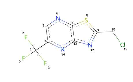 FC(F)(F)c1cnc2sc(CCl)nc2n1